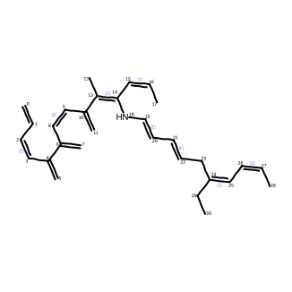 C=C/C=C\C(=C)C(=C)/C=C\C(=C)/C(C)=C(/C=C\C)N/C=C/C=C/C/C(=C\C=C/C)CC